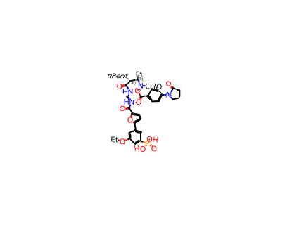 CCCCC[C@@H](C(=O)NCNC(=O)c1ccc(-c2cc(OCC)cc(P(=O)(O)O)c2)o1)[C@@H](CC)N(C=O)OC(=O)c1ccc(N2CCCC2=O)cc1